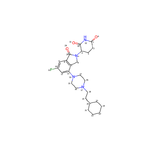 O=C1CCC(N2Cc3c(cc(F)cc3N3CCN(CCC4CCCCC4)CC3)C2=O)C(=O)N1